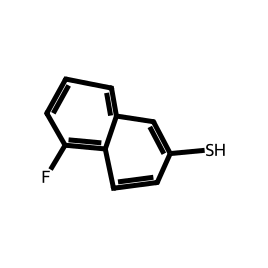 Fc1cccc2cc(S)ccc12